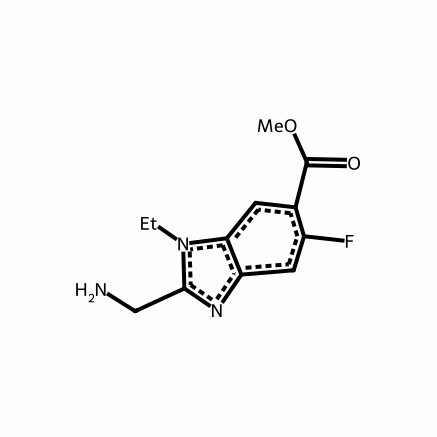 CCn1c(CN)nc2cc(F)c(C(=O)OC)cc21